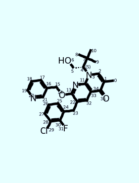 Cc1cn([C@H](CO)C(C)(C)C)c2nc(OCc3cccnc3)c(Cc3cccc(Cl)c3F)cc2c1=O